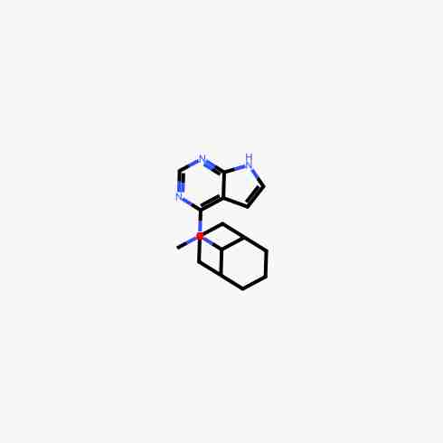 CN(c1ncnc2[nH]ccc12)C1C2CCCC1CCC2